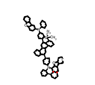 C[Si]1(C)c2cc(N(c3ccccc3)c3ccc4oc5ccccc5c4c3)ccc2-c2cc3c4ccccc4c(-c4ccc(N(c5ccccc5-c5ccccc5)c5cccc6c5oc5ccccc56)cc4)cc3c3cccc1c23